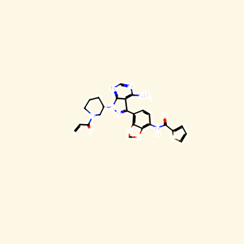 C=CC(=O)N1CCC[C@@H](n2nc(-c3ccc(NC(=O)c4cccs4)c4c3OCO4)c3c(N)ncnc32)C1